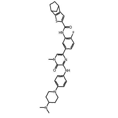 CN(C)C1CCN(c2ccc(Nc3nc(-c4ccc(F)c(NC(=O)c5cc6c(s5)C5CCC6C5)c4)cn(C)c3=O)cc2)CC1